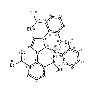 CCC(CC)c1cccc(C(CC)CC)c1N1C=CN(c2c(C(CC)CC)cccc2C(CC)CC)[CH]1[Pd][c]1ncccc1Cl